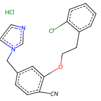 Cl.N#Cc1ccc(Cn2ccnc2)cc1OCCc1ccccc1Cl